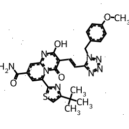 COc1ccc(Cn2nnnc2C=Cc2c(O)nc3cc(C(N)=O)cc(-c4nc(C(C)(C)C)cs4)n3c2=O)cc1